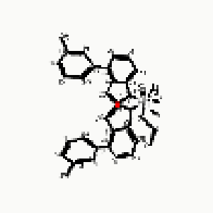 CC[CH2][Hf]([CH3])([CH3])([CH3])(=[SiH2])([CH]1C=Cc2c(-c3cccc(C)c3)cccc21)[CH]1C=Cc2c(-c3cccc(C)c3)cccc21